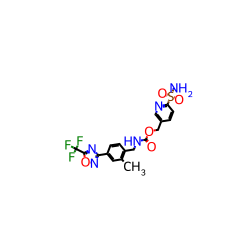 Cc1cc(-c2noc(C(F)(F)F)n2)ccc1CNC(=O)OCc1ccc(S(N)(=O)=O)nc1